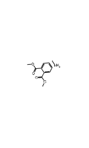 CN.COC(=O)c1ccccc1C(=O)OC